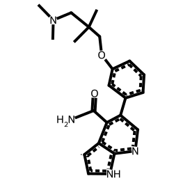 CN(C)CC(C)(C)COc1cccc(-c2cnc3[nH]c[c]c3c2C(N)=O)c1